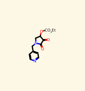 CCOC(=O)OC1CN(Cc2ccncc2)C(=O)C1=O